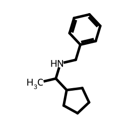 CC(NCc1ccccc1)C1CCCC1